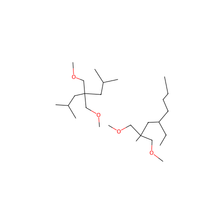 CCCCC(CC)CC(C)(COC)COC.COCC(COC)(CC(C)C)CC(C)C